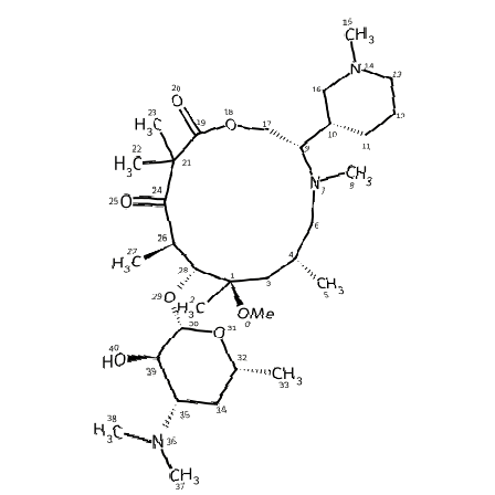 CO[C@]1(C)C[C@@H](C)CN(C)[C@@H]([C@H]2CCCN(C)C2)COC(=O)C(C)(C)C(=O)[C@H](C)[C@H]1O[C@@H]1O[C@H](C)C[C@H](N(C)C)[C@H]1O